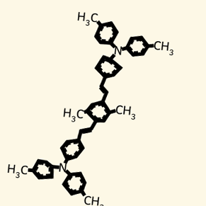 Cc1ccc(N(c2ccc(C)cc2)c2ccc(C=Cc3cc(C)c(C=Cc4ccc(N(c5ccc(C)cc5)c5ccc(C)cc5)cc4)cc3C)cc2)cc1